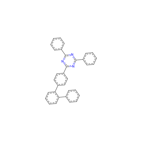 c1ccc(-c2nc(-c3ccccc3)nc(-c3ccc(-c4ccccc4-c4ccccc4)cc3)n2)cc1